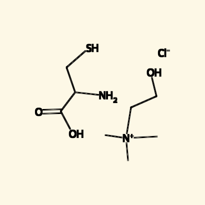 C[N+](C)(C)CCO.NC(CS)C(=O)O.[Cl-]